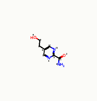 NC(=O)c1ncc([CH]CO)cn1